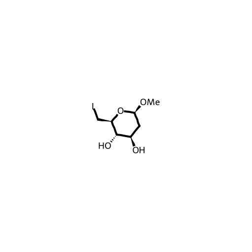 CO[C@H]1C[C@@H](O)[C@H](O)[C@@H](CI)O1